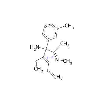 C=C/C=C(\C=C)C(N)(/C(C)=N/C)c1cccc(C)c1